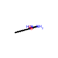 CCCCCCCCCCCCCCCCCC(=O)OC(N)CCCCCN